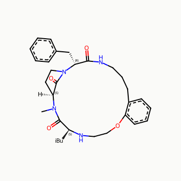 CCC(C)[C@@H]1NCCOc2ccccc2CCCNC(=O)[C@@H](Cc2ccccc2)N2CC[C@@H](C2=O)N(C)C1=O